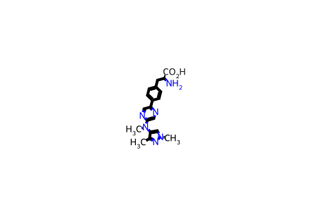 Cc1nn(C)cc1N(C)c1cnc(-c2ccc(C[C@H](N)C(=O)O)cc2)cn1